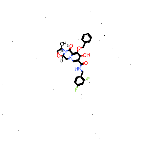 C[C@@H]1CO[C@H]2CN3C=C(C(=O)NCc4ccc(F)cc4F)C(O)C(OCc4ccccc4)=C3C(=O)N12